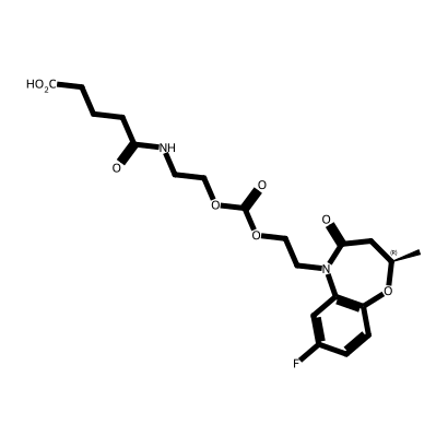 C[C@@H]1CC(=O)N(CCOC(=O)OCCNC(=O)CCCC(=O)O)c2cc(F)ccc2O1